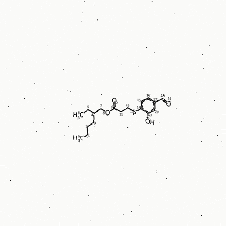 CCCCC(CC)COC(=O)CCSc1ccc(C=O)cc1O